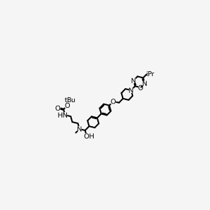 CC(C)C1=NOC(N2CCC(COc3ccc(C4=CCC(C(O)N(C)CCCNC(=O)OC(C)(C)C)CC4)cc3)CC2)=NC1